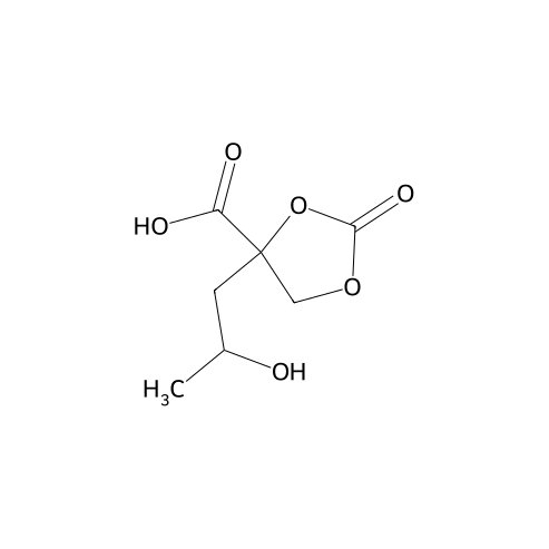 CC(O)CC1(C(=O)O)COC(=O)O1